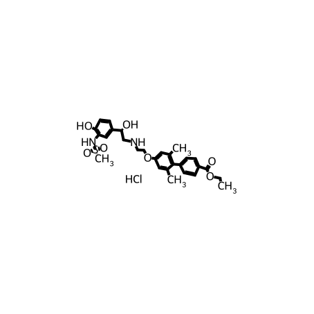 CCOC(=O)c1ccc(-c2c(C)cc(OCCNC[C@H](O)c3ccc(O)c(NS(C)(=O)=O)c3)cc2C)cc1.Cl